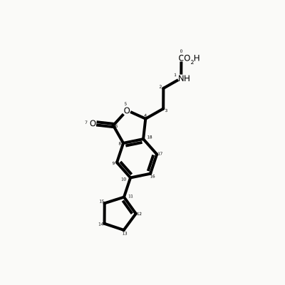 O=C(O)NCCC1OC(=O)c2cc(C3=CCCC3)ccc21